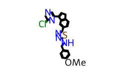 COc1ccc(CNc2nnc(-c3ccc4c(c3)C(c3cncc(Cl)n3)=CC4)s2)cc1